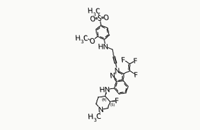 COc1cc(S(C)(=O)=O)ccc1NCC#Cn1nc2c(N[C@@H]3CCN(C)C[C@@H]3F)cccc2c1C(F)=C(F)F